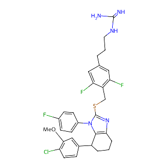 COc1cc(C2CCCc3nc(SCc4c(F)cc(CCCNC(=N)N)cc4F)n(-c4ccc(F)cc4)c32)ccc1Cl